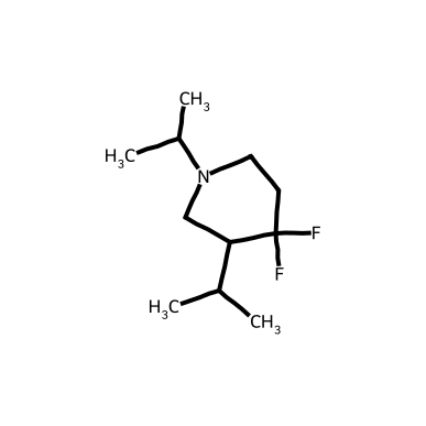 CC(C)C1CN(C(C)C)CCC1(F)F